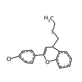 CCSCC1C=C(c2ccc(Cl)cc2)Oc2ccccc21